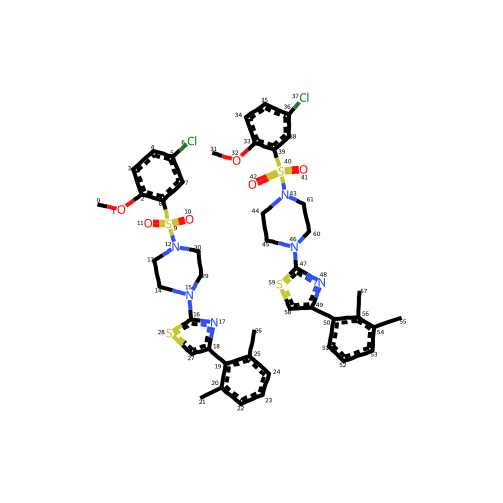 COc1ccc(Cl)cc1S(=O)(=O)N1CCN(c2nc(-c3c(C)cccc3C)cs2)CC1.COc1ccc(Cl)cc1S(=O)(=O)N1CCN(c2nc(-c3cccc(C)c3C)cs2)CC1